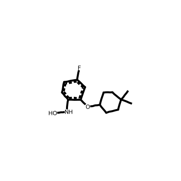 CC1(C)CCC(Oc2cc(F)ccc2NO)CC1